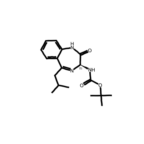 CC(C)CC1=N[C@H](NC(=O)OC(C)(C)C)C(=O)Nc2ccccc21